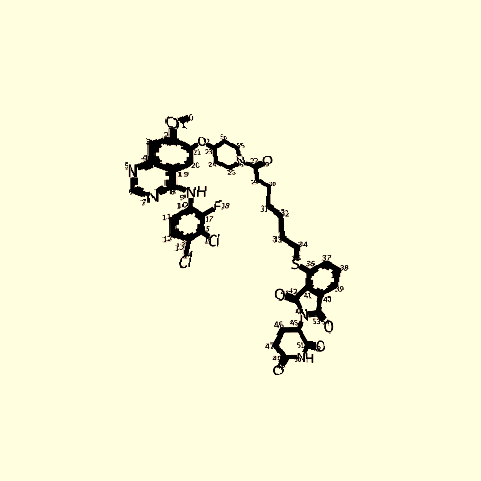 COc1cc2ncnc(Nc3ccc(Cl)c(Cl)c3F)c2cc1OC1CCN(C(=O)CCCCCCSc2cccc3c2C(=O)N(C2CCC(=O)NC2=O)C3=O)CC1